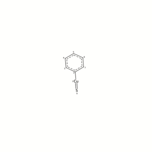 [S]=[Cu][c]1ccccc1